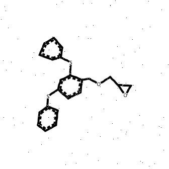 c1ccc(Sc2ccc(COCC3CO3)c(Sc3ccccc3)c2)cc1